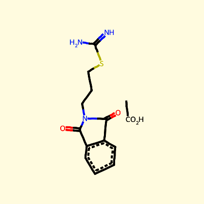 CC(=O)O.N=C(N)SCCCN1C(=O)c2ccccc2C1=O